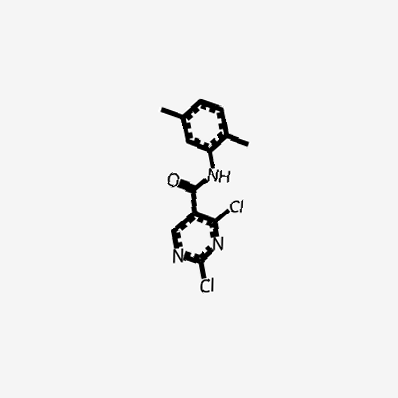 Cc1ccc(C)c(NC(=O)c2cnc(Cl)nc2Cl)c1